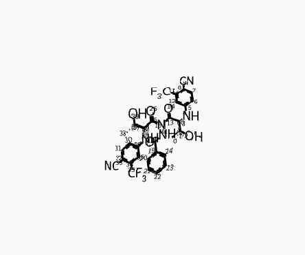 C[C@H](O)[C@@H](Nc1ccc(C#N)c(C(F)(F)F)c1)C(=O)N(NC(=O)c1ccccc1)C(=O)[C@H](Nc1ccc(C#N)c(C(F)(F)F)c1)[C@H](C)O